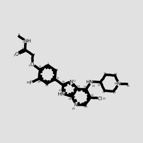 CNC(=O)COc1ccc(-c2nc3c(NC4CCN(C)CC4)c(Cl)cnc3[nH]2)cc1F